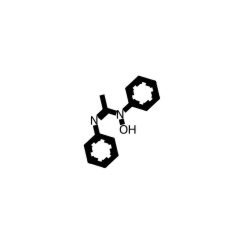 CC(=Nc1ccccc1)N(O)c1ccccc1